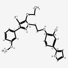 CCOc1c(F)c(-c2cccc(OC)c2)nn1CCOc1ccc(-c2ccco2)cc1Cl